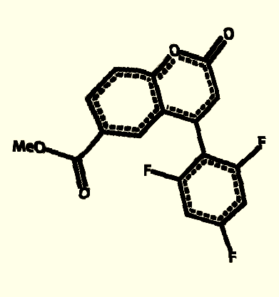 COC(=O)c1ccc2oc(=O)cc(-c3c(F)cc(F)cc3F)c2c1